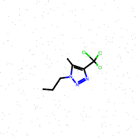 CCCn1nnc(C(Cl)(Cl)Cl)c1C